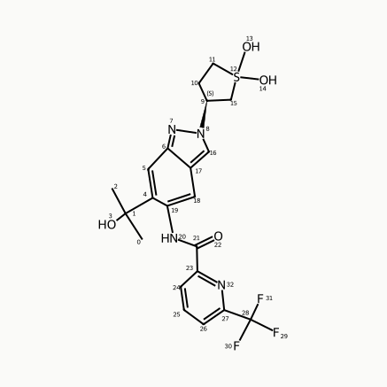 CC(C)(O)c1cc2nn([C@H]3CCS(O)(O)C3)cc2cc1NC(=O)c1cccc(C(F)(F)F)n1